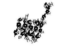 Brc1ccc(CNc2ccc([C@H]3CNCCO3)cc2)nc1.COc1cccc(CNc2ccc([C@H]3CNCCO3)cc2)n1.Clc1ccc(CNc2ccc([C@H]3CNCCO3)cc2)cn1.FC(F)(F)C(Nc1ccc(C2CCNC2)cc1)c1ccc(Br)cn1.FC(F)(F)c1ccc(CNc2ccc([C@H]3CNCCO3)cc2)cn1.Fc1ccc(CNc2ccc([C@H]3CNCCO3)cc2)nc1